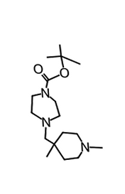 CN1CCC(C)(CN2CCN(C(=O)OC(C)(C)C)CC2)CC1